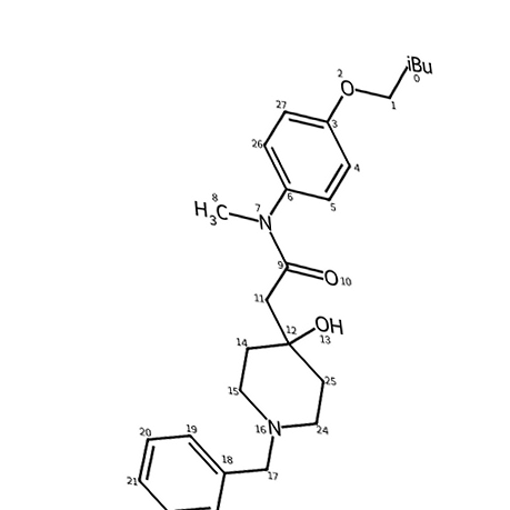 CCC(C)COc1ccc(N(C)C(=O)CC2(O)CCN(Cc3ccccc3)CC2)cc1